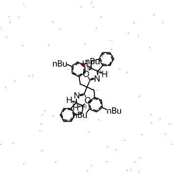 CCCCc1cc(CCCC)cc(CC(Cc2cc(CCCC)cc(CCCC)c2)(C2=N[C@H]3c4ccccc4C[C@H]3O2)C2=N[C@H]3c4ccccc4C[C@H]3O2)c1